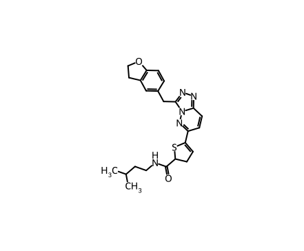 CC(C)CCNC(=O)C1CC=C(c2ccc3nnc(Cc4ccc5c(c4)CCO5)n3n2)S1